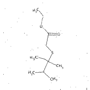 CCOC(=O)CSC(C)(C)C(C)C